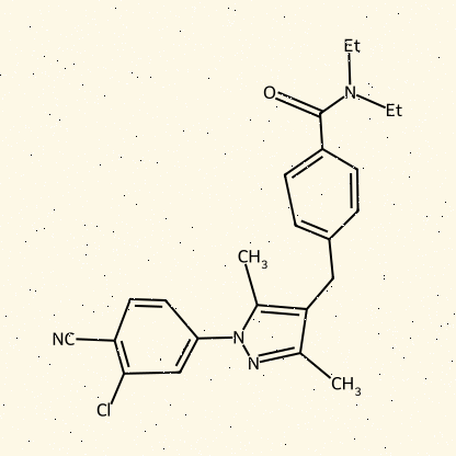 CCN(CC)C(=O)c1ccc(Cc2c(C)nn(-c3ccc(C#N)c(Cl)c3)c2C)cc1